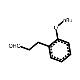 CCCCOc1ccccc1CC[C]=O